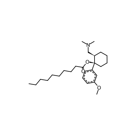 CCCCCCCCCC(=O)O[C@]1(c2cccc(OC)c2)CCCC[C@@H]1CN(C)C